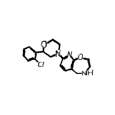 Clc1ccccc1C1CN(c2ccc3c(n2)OCCNC3)CCO1